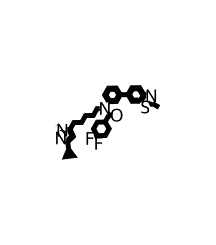 Cc1nc2ccc(-c3cccc(N(CCCCCc4cc(C5CC5)nn4C)C(=O)C4CCC(F)(F)CC4)c3)cc2s1